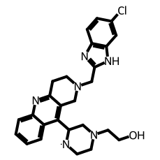 OCCN1CC[N]C(c2c3c(nc4ccccc24)CCN(Cc2nc4ccc(Cl)cc4[nH]2)C3)C1